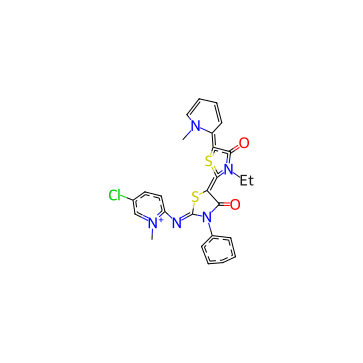 CCn1c(=O)/c(=C2\C=CC=CN2C)s/c1=C1\S/C(=N\c2ccc(Cl)c[n+]2C)N(c2ccccc2)C1=O